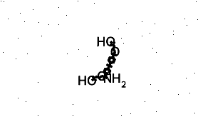 CC(C)(O)CCOC(C)(C)c1ccc(C(C)(C)c2ccc(C(C)(N)OCCC(C)(C)O)cc2)cc1